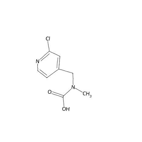 CN(Cc1ccnc(Cl)c1)C(=O)O